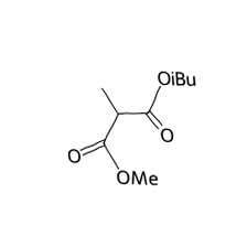 COC(=O)C(C)C(=O)OCC(C)C